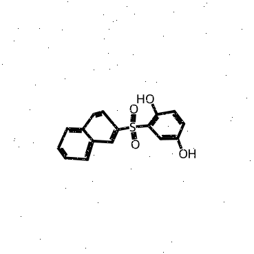 O=S(=O)(c1ccc2ccccc2c1)c1cc(O)ccc1O